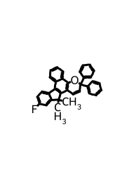 CC1(C)c2cc(F)ccc2-c2c1c1c(c3ccccc23)OC(c2ccccc2)(c2ccccc2)C=C1